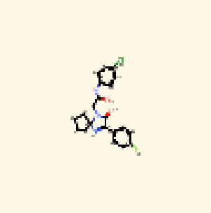 O=C(CN1C(=O)C(c2ccc(F)cc2)=NC12CCCC2)Nc1ccc(Cl)cc1